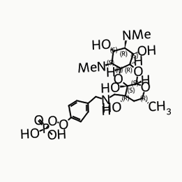 CN[C@@H]1[C@H](O)[C@H](NC)[C@H]2O[C@]3(O)[C@H](O[C@@H]2[C@H]1O)O[C@H](C)C[C@@]3(O)CNCc1ccc(OOP(=O)(O)O)cc1